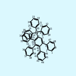 c1ccc(-c2cc([B-](c3ccccc3)(c3ccccc3)c3ccccc3)c(-c3ccccc3)c(-c3ccccc3)c2-c2ccccc2)cc1